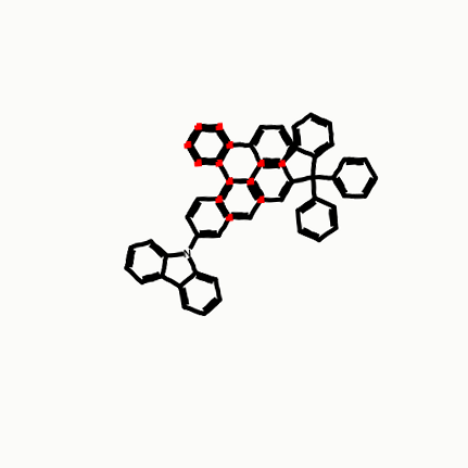 c1ccc(-c2ccccc2-c2ccccc2-c2ccccc2N(c2ccc(-n3c4ccccc4c4ccccc43)cc2)c2ccc3c(c2)-c2ccccc2C3(c2ccccc2)c2ccccc2)cc1